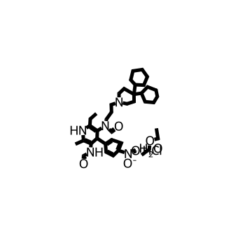 CCC1=C(N(C=O)CCCN2CCC(C3CCCCC3)(C3CCCCC3)CC2)C(c2ccc([N+](=O)[O-])cc2)C(NC=O)=C(C)N1.CCOCC.Cl.O